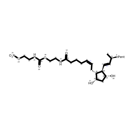 CCCCC[C@H](C)/C=C/[C@@H]1[C@@H](C/C=C\CCCC(=O)NCCOC(=O)NCCO[N+](=O)[O-])[C@@H](O)C[C@H]1O